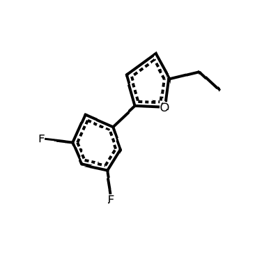 CCc1ccc(-c2cc(F)cc(F)c2)o1